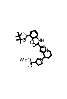 COC(=O)[C@@H]1CCN(C2CCCn3nc(C(=O)Nc4cccc(B5OC(C)(C)C(C)(C)O5)c4Cl)cc32)C1